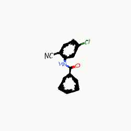 N#Cc1ccc(Cl)cc1NC(=O)c1ccccc1